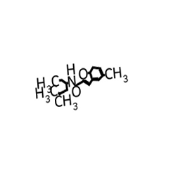 CCC(CC(C)C)NC(=O)C1=CC2=CC(C)=CCC2O1